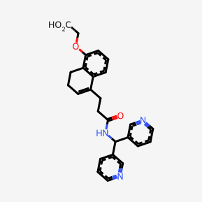 O=C(O)COc1cccc2c1CCC=C2CCC(=O)NC(c1cccnc1)c1cccnc1